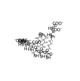 CC(C)CCCCCOC(=O)CS.CC(C)CCCCCOC(=O)CS.CC(C)CCCCCOC(=O)CS.O=C([O-])CS.O=C([O-])CS.O=C([O-])CS.O=C([O-])CS.O=C([O-])CS.O=C([O-])CS.[Sb+3].[Sb+3]